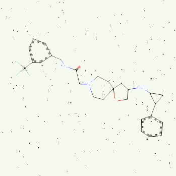 O=C(CN1CCC2(CC1)CC(NC1CC1c1ccccc1)CO2)NCc1cccc(C(F)(F)F)c1